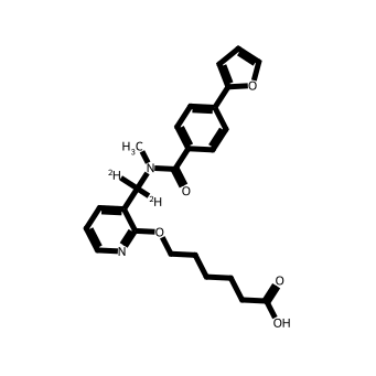 [2H]C([2H])(c1cccnc1OCCCCCC(=O)O)N(C)C(=O)c1ccc(-c2ccco2)cc1